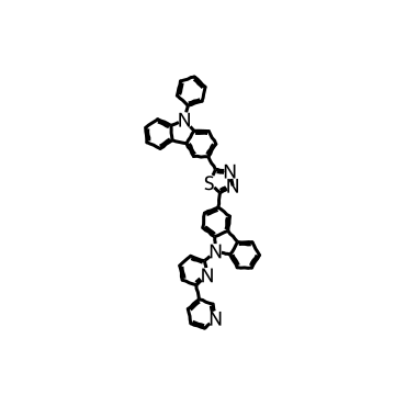 c1ccc(-n2c3ccccc3c3cc(-c4nnc(-c5ccc6c(c5)c5ccccc5n6-c5cccc(-c6cccnc6)n5)s4)ccc32)cc1